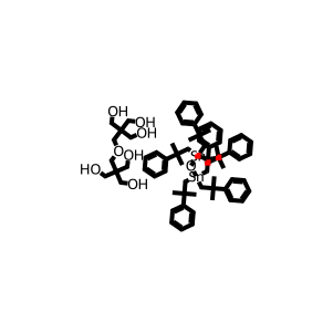 CC(C)([CH2][Sn]([CH2]C(C)(C)c1ccccc1)([CH2]C(C)(C)c1ccccc1)[O][Sn]([CH2]C(C)(C)c1ccccc1)([CH2]C(C)(C)c1ccccc1)[CH2]C(C)(C)c1ccccc1)c1ccccc1.OCC(CO)(CO)COCC(CO)(CO)CO